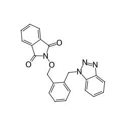 O=C1c2ccccc2C(=O)N1OCc1ccccc1Cn1nnc2ccccc21